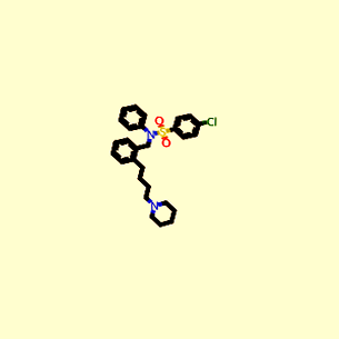 O=S(=O)(c1ccc(Cl)cc1)N(Cc1ccccc1CCCCN1CCCCC1)c1ccccc1